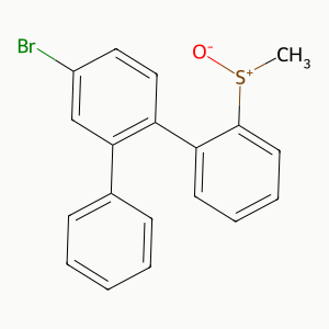 C[S+]([O-])c1ccccc1-c1ccc(Br)cc1-c1ccccc1